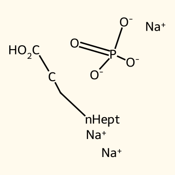 CCCCCCCCCC(=O)O.O=P([O-])([O-])[O-].[Na+].[Na+].[Na+]